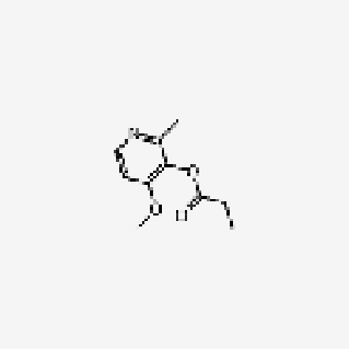 CCC(=O)Oc1c(OC)ccnc1C